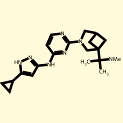 CNC(C)(C)C12CC(CN(c3nccc(Nc4cc(C5CC5)[nH]n4)n3)C1)C2